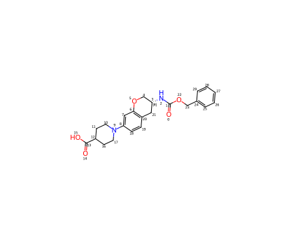 O=C(N[C@H]1COc2cc(N3CCC(C(=O)O)CC3)ccc2C1)OCc1ccccc1